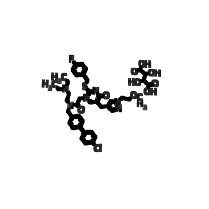 CCN(CC)CCN(Cc1ccc(-c2ccc(Cl)cc2)cc1)C(=O)Cn1cc(Cc2cnn(CCOC)c2)c(=O)nc1SCc1ccc(F)cc1.O=C(O)C(O)C(O)C(=O)O